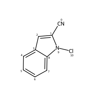 N#Cc1cc2ccccc2n1Cl